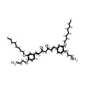 CCCCCCCCOc1cc(/C=C/C(=O)CC(=O)/C=C/c2ccc(OCCN)c(OCCCCCCCC)c2)ccc1OCCN